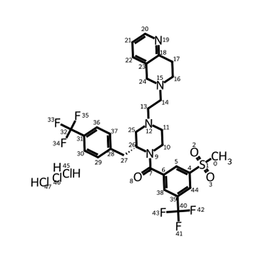 CS(=O)(=O)c1cc(C(=O)N2CCN(CCN3CCc4ncccc4C3)C[C@H]2Cc2ccc(C(F)(F)F)cc2)cc(C(F)(F)F)c1.Cl.Cl.Cl